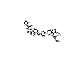 C[C@@H]1OCC2(CCN(c3cnc(Sc4cccc(NS(=O)(=O)NC(=O)N5CCCC5)c4Cl)cn3)CC2)[C@@H]1NC(=O)OC(C)(C)C